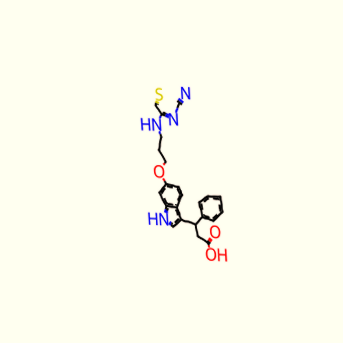 N#CN=C(C=S)NCCCOc1ccc2c(C(CC(=O)O)c3ccccc3)c[nH]c2c1